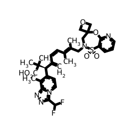 C=C(/C=C\C(C)=C(/C)CN1CC2(COC2)Oc2ncccc2S1(=O)=O)[C@@H](c1ccn2c(C(F)F)nnc2c1C)C(C)(C)C(=O)O